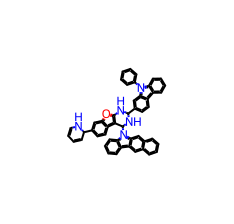 C1=CNC(c2ccc3c4c(oc3c2)NC(c2ccc3c5ccccc5n(-c5ccccc5)c3c2)NC4n2c3ccccc3c3cc4ccccc4cc32)C=C1